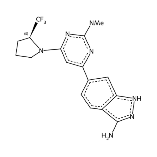 CNc1nc(-c2ccc3c(N)n[nH]c3c2)cc(N2CCC[C@H]2C(F)(F)F)n1